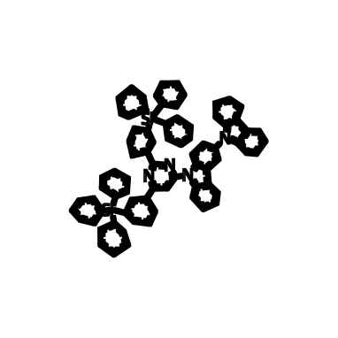 c1ccc([Si](c2ccccc2)(c2ccccc2)c2cccc(-c3cc(-n4c5ccccc5c5cc(-n6c7ccccc7c7ccccc76)ccc54)nc(-c4cccc([Si](c5ccccc5)(c5ccccc5)c5ccccc5)c4)n3)c2)cc1